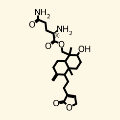 C=C1CCC2C(C)(COC(=O)[C@H](N)CCC(N)=O)C(O)CCC2(C)C1CCC1=CCOC1=O